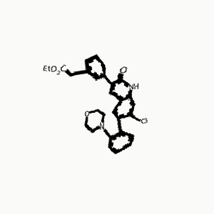 CCOC(=O)Cc1cccc(-c2cc3cc(-c4ccccc4N4CCOCC4)c(Cl)cc3[nH]c2=O)c1